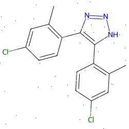 Cc1cc(Cl)ccc1-c1nn[nH]c1-c1ccc(Cl)cc1C